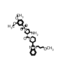 COCCCn1c(C2CCCN(C(=O)[C@@H]3CN(S(=O)(=O)c4ccc(OC)c(OC)c4)C[C@H]3N)C2)nc2ccccc21